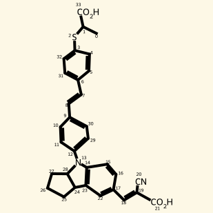 CC(Sc1ccc(C=Cc2ccc(N3c4ccc(/C=C(\C#N)C(=O)O)cc4C4CCCC43)cc2)cc1)C(=O)O